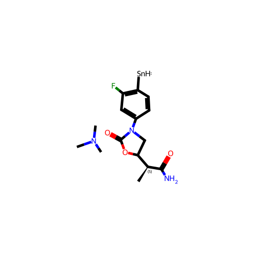 CN(C)C.C[C@H](C(N)=O)C1CN(c2cc[c]([SnH])c(F)c2)C(=O)O1